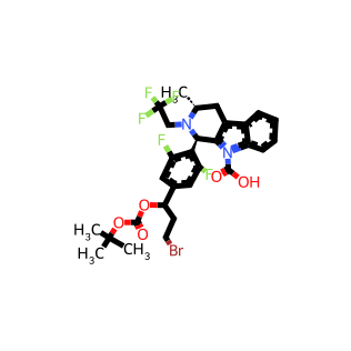 C[C@@H]1Cc2c(n(C(=O)O)c3ccccc23)[C@@H](c2c(F)cc(C(CCBr)OC(=O)OC(C)(C)C)cc2F)N1CC(F)(F)F